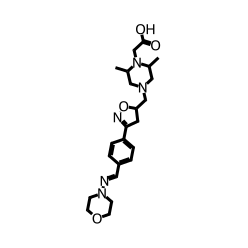 CC1CN(CC2CC(c3ccc(C=NN4CCOCC4)cc3)=NO2)CC(C)N1CC(=O)O